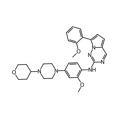 COc1cc(N2CCN(C3CCOCC3)CC2)ccc1Nc1ncc2ccc(-c3ccccc3OC)n2n1